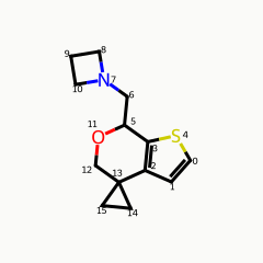 c1cc2c(s1)C(CN1CCC1)OCC21CC1